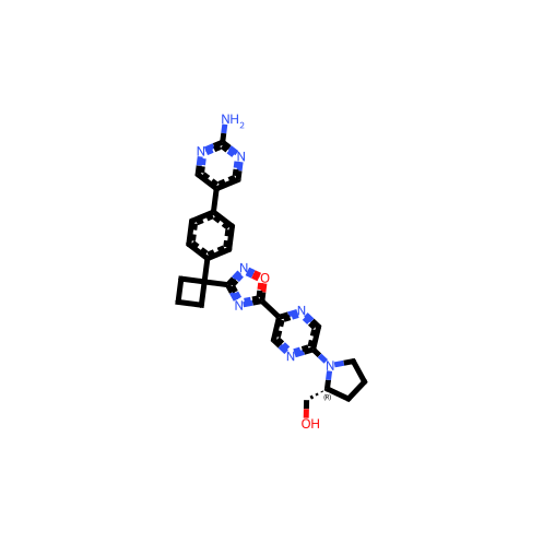 Nc1ncc(-c2ccc(C3(c4noc(-c5cnc(N6CCC[C@@H]6CO)cn5)n4)CCC3)cc2)cn1